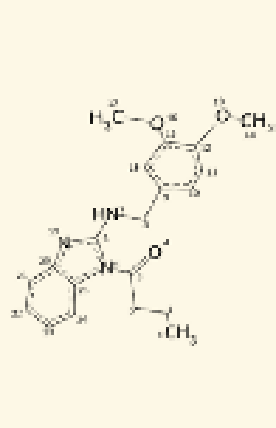 CCCC(=O)n1c(NCc2ccc(OC)c(OC)c2)nc2ccccc21